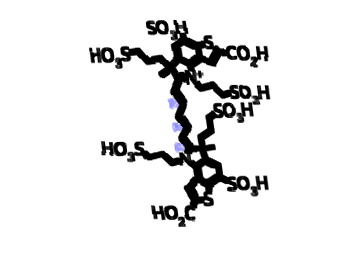 CC1(CCCS(=O)(=O)O)C(/C=C/C=C/C=C2/N(CCCS(=O)(=O)O)c3c(cc(S(=O)(=O)O)c4sc(C(=O)O)cc34)C2(C)CCCS(=O)(=O)O)=[N+](CCCS(=O)(=O)O)c2c1cc(S(=O)(=O)O)c1sc(C(=O)O)cc21